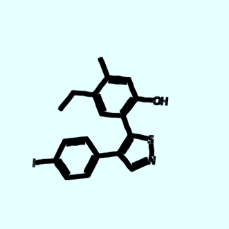 CCc1cc(-c2sncc2-c2ccc(I)cc2)c(O)cc1C